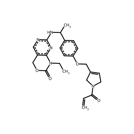 C=CC(=O)N1CC=C(COc2ccc(C(C)Nc3ncc4c(n3)N(CC)C(=O)OC4)cc2)C1